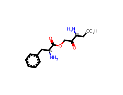 N[C@@H](CC(=O)O)C(=O)COC(=O)[C@@H](N)Cc1ccccc1